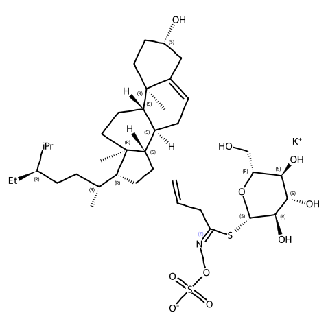 C=CC/C(=N/OS(=O)(=O)[O-])S[C@@H]1O[C@H](CO)[C@@H](O)[C@H](O)[C@H]1O.CC[C@H](CC[C@@H](C)[C@H]1CC[C@H]2[C@@H]3CC=C4C[C@@H](O)CC[C@]4(C)[C@H]3CC[C@]12C)C(C)C.[K+]